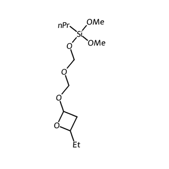 CCC[Si](OC)(OC)OCOCOC1CC(CC)O1